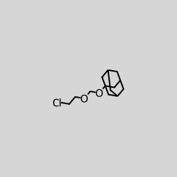 ClCCOCOC12CC3CC(CC(C3)C1)C2